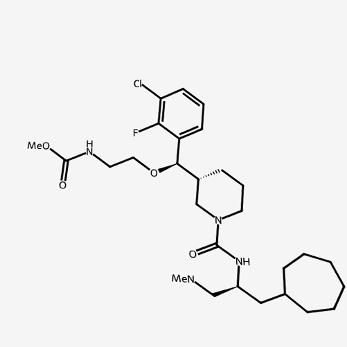 CNC[C@H](CC1CCCCCC1)NC(=O)N1CCC[C@@H]([C@@H](OCCNC(=O)OC)c2cccc(Cl)c2F)C1